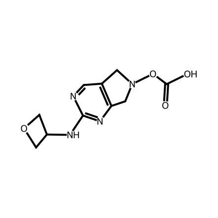 O=C(O)ON1Cc2cnc(NC3COC3)nc2C1